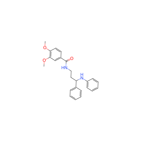 COc1ccc(C(=O)NCCC(Nc2ccccc2)c2ccccc2)cc1OC